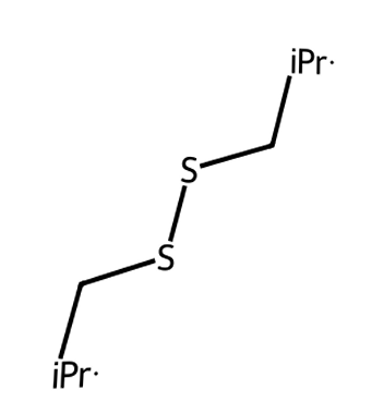 C[C](C)CSSC[C](C)C